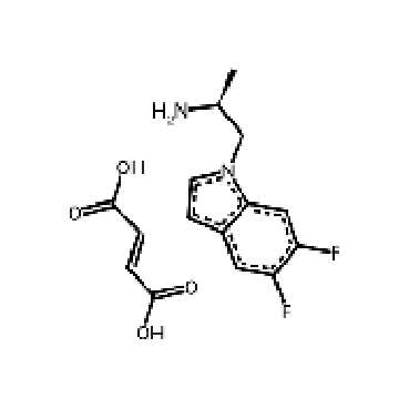 C[C@H](N)Cn1ccc2cc(F)c(F)cc21.O=C(O)/C=C/C(=O)O